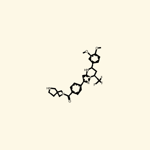 COc1ccc(C2CC(C(F)(F)F)n3nc(-c4ccc(C(=O)N5CC6(CCNC6)C5)cc4)cc3N2)cc1OC